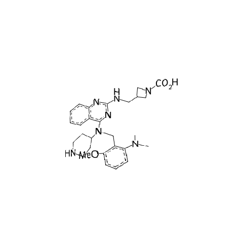 COc1cccc(N(C)C)c1CN(c1nc(NCC2CN(C(=O)O)C2)nc2ccccc12)C1CCNCC1